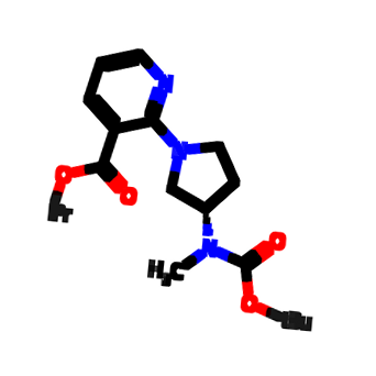 CC(C)OC(=O)c1cccnc1N1CC[C@H](N(C)C(=O)OC(C)(C)C)C1